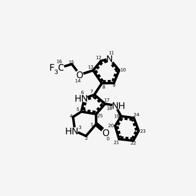 O=C1CNCc2[nH]c(-c3ccncc3OCC(F)(F)F)c(Nc3ccccc3)c21